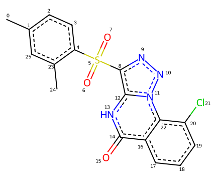 Cc1ccc(S(=O)(=O)c2nnn3c2[nH]c(=O)c2cccc(Cl)c23)c(C)c1